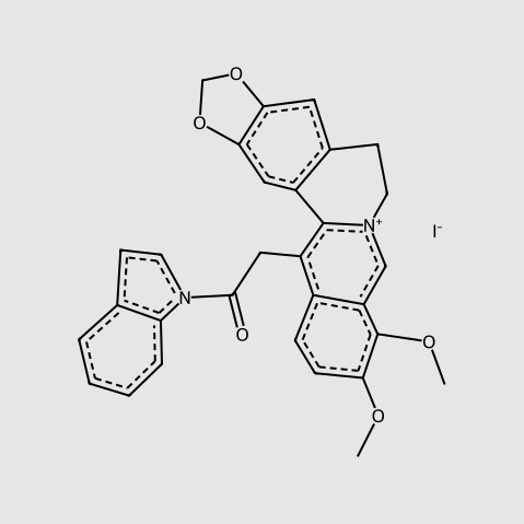 COc1ccc2c(CC(=O)n3ccc4ccccc43)c3[n+](cc2c1OC)CCc1cc2c(cc1-3)OCO2.[I-]